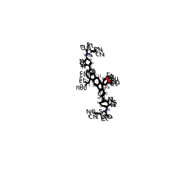 CCCCC(CC)CC1(CC(CC)CCCC)c2cc3c(cc2-c2sc(-c4ccc(/C=c5\sc(=C(C#N)C#N)n(CC)c5=O)c5nsnc45)cc21)C(CC(CC)CCCC)(CC(CC)CCCC)c1cc(-c2ccc(/C=c4\sc(=C(C#N)C#N)n(CC)c4=O)c4nsnc24)sc1-3